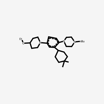 CCCCN1CCN(c2ccc(N3CCC(OCC)CC3)cc2C2CCC(C)(C)CC2)CC1